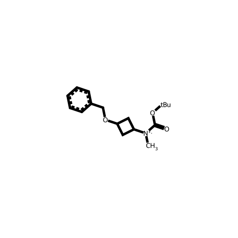 C[N+](C(=O)OC(C)(C)C)C1CC(OCc2ccccc2)C1